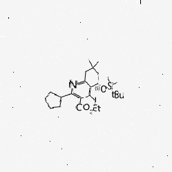 CCOC(=O)c1c(C2CCCC2)nc2c(c1I)[C@@H](O[Si](C)(C)C(C)(C)C)CC(C)(C)C2